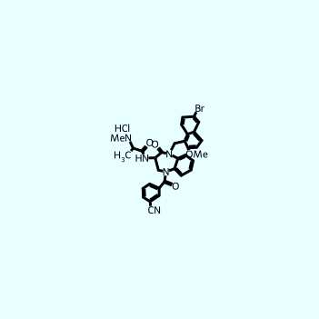 CNC(C)C(=O)NC1CN(C(=O)c2cccc(C#N)c2)c2ccccc2N(Cc2c(OC)ccc3cc(Br)ccc23)C1=O.Cl